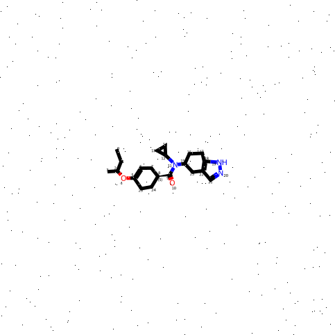 CCC(C)OC1=CC[C@@H](C(=O)N(C2CC2)C2CCc3[nH]ncc3C2)CC1